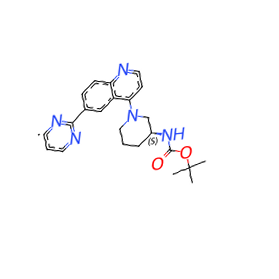 CC(C)(C)OC(=O)N[C@H]1CCCN(c2ccnc3ccc(-c4n[c]ccn4)cc23)C1